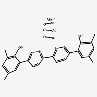 CC(=O)[O-].CC(=O)[O-].CC(=O)[O-].Cc1cc(C)c(O)c(-c2ccc(-c3ccc(-c4cc(C)cc(C)c4O)cn3)nc2)c1.[Mn+3]